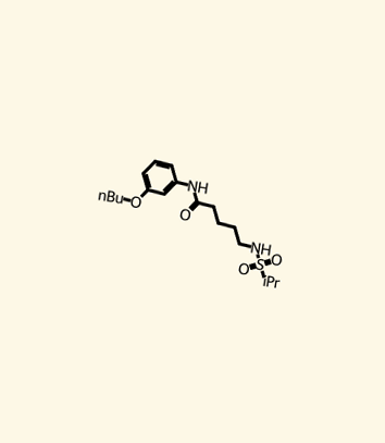 CCCCOc1cccc(NC(=O)CCCCNS(=O)(=O)C(C)C)c1